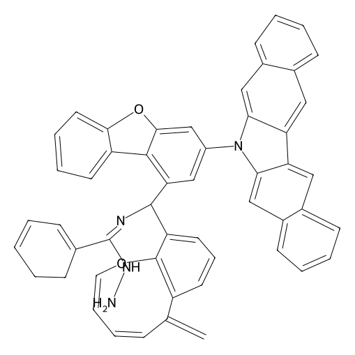 C=C1/C=C\C=C/Oc2c1cccc2C(/N=C(\NN)C1=CC=CCC1)c1cc(-n2c3cc4ccccc4cc3c3cc4ccccc4cc32)cc2oc3ccccc3c12